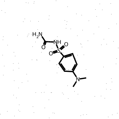 CN(C)c1ccc(S(=O)(=O)NC(N)=O)cc1